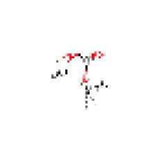 [Mg+2].[O]=[Ti]([O-])[O-].[Pt].[Ru]